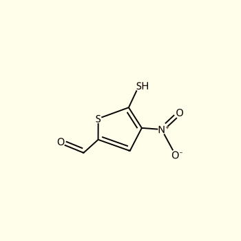 O=Cc1cc([N+](=O)[O-])c(S)s1